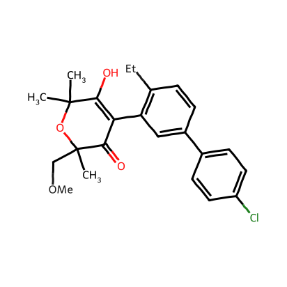 CCc1ccc(-c2ccc(Cl)cc2)cc1C1=C(O)C(C)(C)OC(C)(COC)C1=O